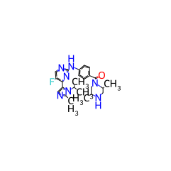 Cc1ncc(-c2nc(Nc3ccc(C(=O)N4CC(C)NCC4C)cc3)ncc2F)n1C(C)C